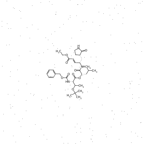 CCOC(=O)/C=C/[C@H](C[C@@H]1CCNC1=O)NC(=O)[C@H](CC(C)C)OC(=O)[C@@H](NC(=O)OCc1ccccc1)C(C)OC(C)(C)C